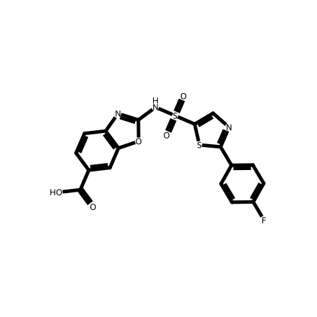 O=C(O)c1ccc2nc(NS(=O)(=O)c3cnc(-c4ccc(F)cc4)s3)oc2c1